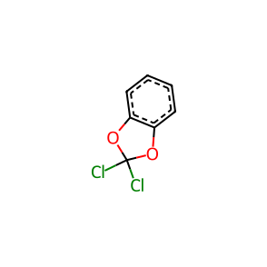 ClC1(Cl)Oc2ccccc2O1